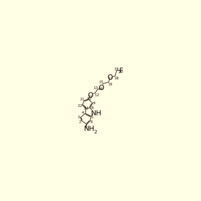 Nc1ccc2c(c1)[nH]c1cc(OCCOCCOCCF)ccc12